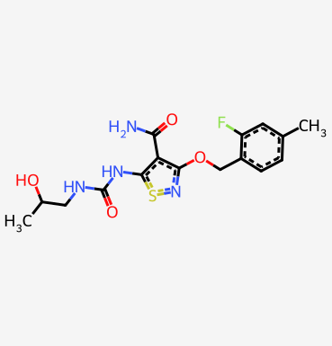 Cc1ccc(COc2nsc(NC(=O)NCC(C)O)c2C(N)=O)c(F)c1